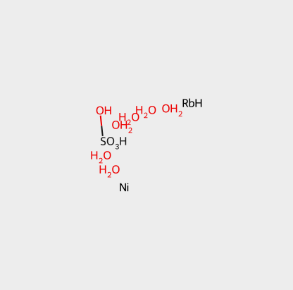 O.O.O.O.O.O.O=S(=O)(O)O.[Ni].[RbH]